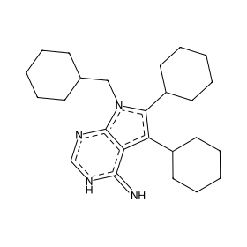 N=c1[nH]cnc2c1c(C1CCCCC1)c(C1CCCCC1)n2CC1CCCCC1